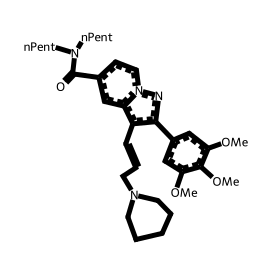 CCCCCN(CCCCC)C(=O)c1ccn2nc(-c3cc(OC)c(OC)c(OC)c3)c(/C=C/CN3CCCCC3)c2c1